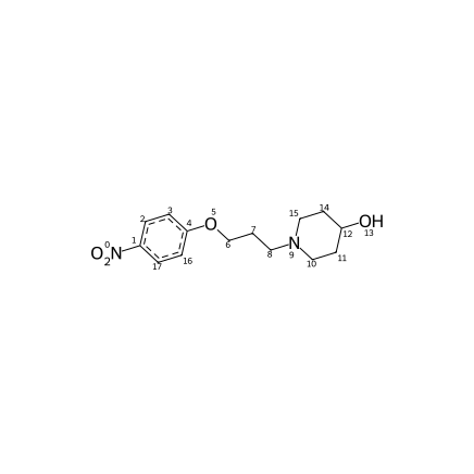 O=[N+]([O-])c1ccc(OCCCN2CCC(O)CC2)cc1